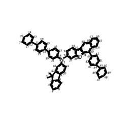 CC1(C)c2ccccc2-c2ccc(N(c3ccc(-c4ccc(-c5ccccc5)cc4)cc3)c3ccc4c(c3)oc3c(-c5ccc(-c6ccccc6)cc5)c5ccccc5cc34)cc21